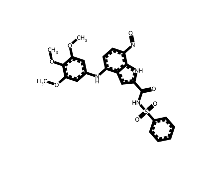 COc1cc(Nc2ccc(N=O)c3[nH]c(C(=O)NS(=O)(=O)c4ccccc4)cc23)cc(OC)c1OC